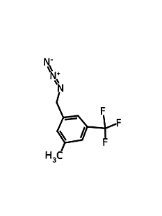 Cc1cc(CN=[N+]=[N-])cc(C(F)(F)F)c1